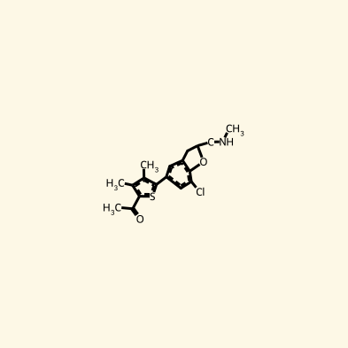 CNCC1Cc2cc(-c3sc(C(C)=O)c(C)c3C)cc(Cl)c2O1